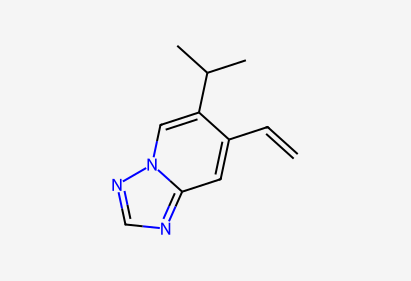 C=Cc1cc2ncnn2cc1C(C)C